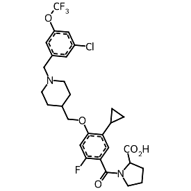 O=C(O)C1CCCN1C(=O)c1cc(C2CC2)c(OCC2CCN(Cc3cc(Cl)cc(OC(F)(F)F)c3)CC2)cc1F